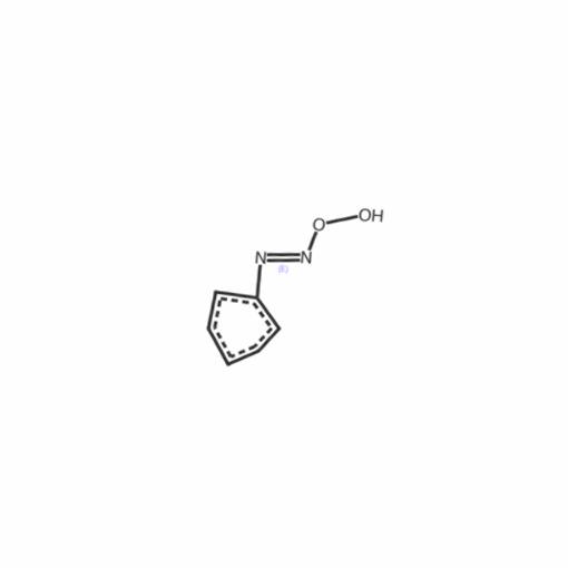 OO/N=N/c1ccccc1